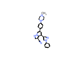 CN1CCN(c2ccc(-c3cc(-c4cnn(-c5ccccc5)c4)c4c(C#N)cnn4c3)cc2)CC1